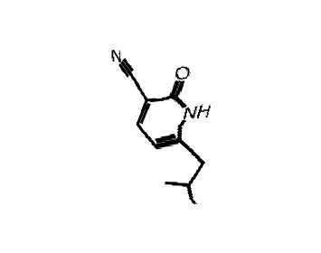 CC(C)Cc1ccc(C#N)c(=O)[nH]1